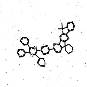 CC1(C)c2ccccc2-c2cc3c(cc21)-c1cc(-c2ccc(-c4nc(-c5ccccc5)c(-c5ccccc5)nc4C4=CC=CCC4)cc2)ccc1C31CCCCC1